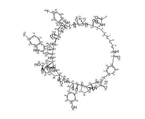 CC(=O)N[C@H]1CCCCCNC(=O)c2ccc(cc2)C[C@@H](C(N)=O)NC(=O)[C@]2(C)CCCN2C(=O)[C@H](Cc2ccc(O)cc2)NC(=O)[C@H](Cc2cnc[nH]2)NC(=O)[C@H](CC(=O)O)NC(=O)[C@H](Cc2c[nH]c3cc(F)ccc23)NC(=O)[C@H](Cc2c[nH]c3ccc(F)cc23)NC(=O)CNC(=O)[C@H](C)NC1=O